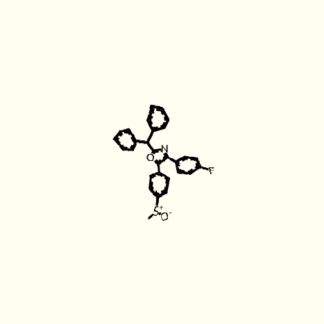 C[S+]([O-])c1ccc(-c2oc(C(c3ccccc3)c3ccccc3)nc2-c2ccc(F)cc2)cc1